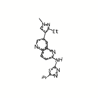 CCc1nn(C)cc1-c1cnc2ccc(Nc3nnc(C(C)C)s3)nc2c1